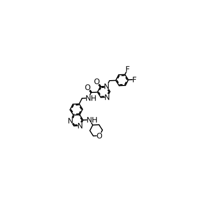 O=C(NCc1ccc2ncnc(NC3CCOCC3)c2c1)c1cncn(Cc2ccc(F)c(F)c2)c1=O